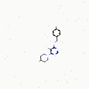 CCOC(=O)C1CCN(c2ncnc(NCc3ccc(C(F)(F)F)cc3)c2N)CC1